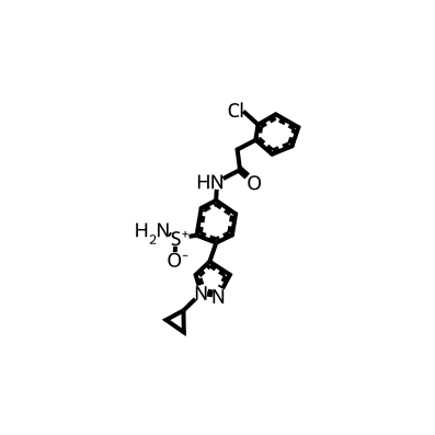 N[S+]([O-])c1cc(NC(=O)Cc2ccccc2Cl)ccc1-c1cnn(C2CC2)c1